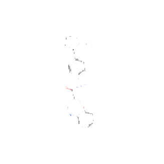 C[C@H]1CCCC1c1ccc(NC(=O)C2CNc3ccccc3O2)c(C(F)(F)F)c1